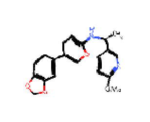 COc1ccc([C@H](C)NC2=CCC(c3ccc4c(c3)OCO4)=CO2)cn1